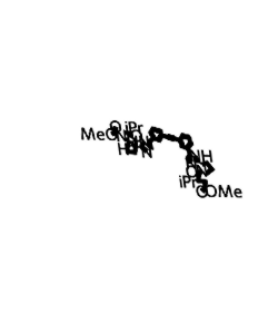 COC(=O)C[C@H](C(=O)N1CCC[C@H]1c1ncc(-c2cccc(C#Cc3cccc(-c4cnc([C@@H]5CCCN5C(=O)[C@@H](NC(=O)OC)C(C)C)[nH]4)c3)c2)[nH]1)C(C)C